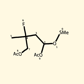 CSOC(CC(C)(F)COC(C)=O)OC(C)=O